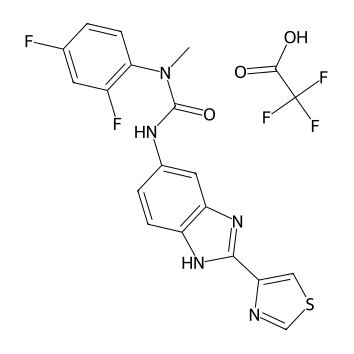 CN(C(=O)Nc1ccc2[nH]c(-c3cscn3)nc2c1)c1ccc(F)cc1F.O=C(O)C(F)(F)F